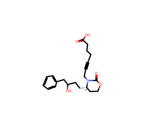 O=C(O)CCCC#CCN1C(=O)OCC[C@@H]1CCC(O)Cc1ccccc1